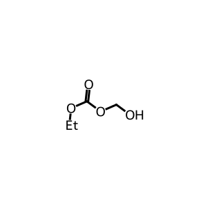 CCOC(=O)OCO